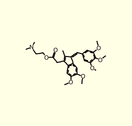 COc1cc2c(cc1OC)/C(=C\c1cc(OC)c(OC)c(OC)c1)C(C)=C2CC(=O)OCCN(C)C